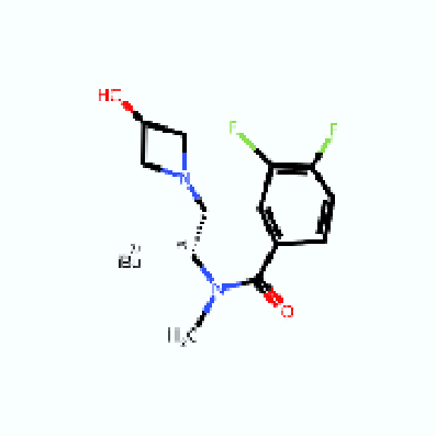 CC[C@H](C)[C@H](CN1CC(O)C1)N(C)C(=O)c1ccc(F)c(F)c1